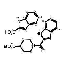 CCOC(=O)C1CCN(C(=O)c2cc3ccccc3[nH]2)CC1.O=C(O)c1cc2ccccc2[nH]1